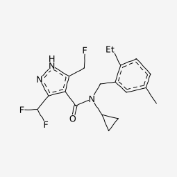 CCc1ccc(C)cc1CN(C(=O)c1c(C(F)F)n[nH]c1CF)C1CC1